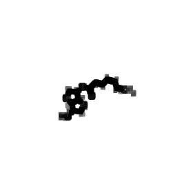 C=C/C=C\C=C\C(=O)OC1COC2C(O)COC12